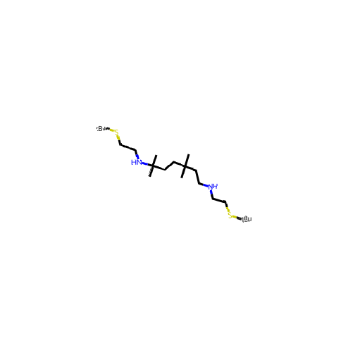 CC(C)(CCNCCSC(C)(C)C)CCC(C)(C)NCCSC(C)(C)C